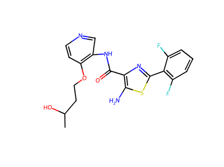 CC(O)CCOc1ccncc1NC(=O)c1nc(-c2c(F)cccc2F)sc1N